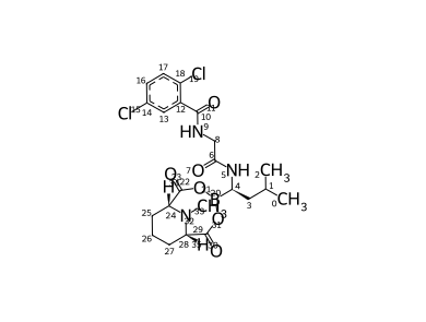 CC(C)C[C@H](NC(=O)CNC(=O)c1cc(Cl)ccc1Cl)B1OC(=O)[C@H]2CCC[C@@H](C(=O)O1)N2C